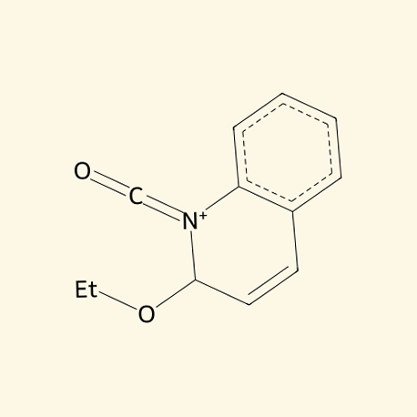 CCOC1C=Cc2ccccc2[N+]1=C=O